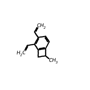 C=Cc1ccc2c(c1C=C)CC2C